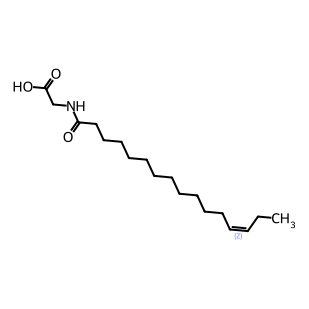 CC/C=C\CCCCCCCCCCCC(=O)NCC(=O)O